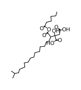 CCCCCC(=O)OC(=O)C(CCCCCCCCCCCCCC(C)C)C(O)(CC(=O)O)C(=O)O